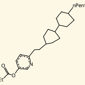 CCCCCC1CCC(C2CCC(CCc3ccc(OC(=O)CC)cn3)CC2)CC1